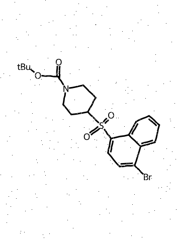 CC(C)(C)OC(=O)N1CCC(S(=O)(=O)c2ccc(Br)c3ccccc23)CC1